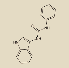 O=C(Nc1ccccc1)Nc1c[nH]c2ccccc12